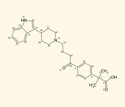 CC(C)(C(=O)O)c1ccc(C(=O)CCCN2CCC(c3c[nH]c4ccccc34)CC2)cc1